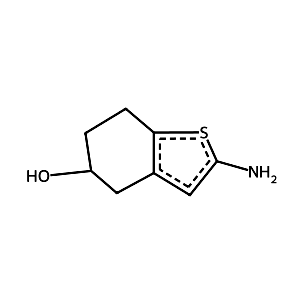 Nc1cc2c(s1)CCC(O)C2